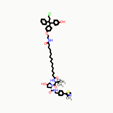 Cc1ncsc1-c1ccc(CNC(=O)[C@@H]2C[C@@H](O)CN2C(=O)[C@@H](NC(=O)CCCCCCCCCCCCCCC(=O)NCCOc2ccc(C(=C(CCCl)c3ccccc3)c3ccc(O)cc3)cc2)C(C)(C)C)cc1